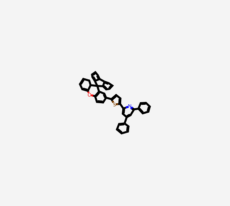 C1=CCC2C(=C1)Oc1ccc(-c3ccc(-c4cc(-c5ccccc5)cc(-c5ccccc5)n4)s3)cc1C21c2ccccc2-c2ccccc21